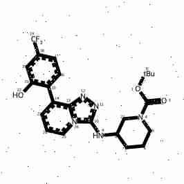 CC(C)(C)OC(=O)N1CCCC(Nc2nnc3c(-c4ccc(C(F)(F)F)cc4O)cccn23)C1